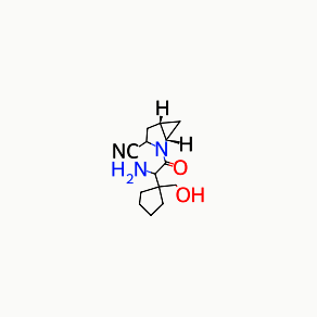 N#CC1C[C@@H]2C[C@@H]2N1C(=O)C(N)C1(CO)CCCC1